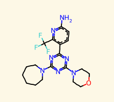 Nc1ccc(-c2nc(N3CCCCCC3)nc(N3CCOCC3)n2)c(C(F)(F)F)n1